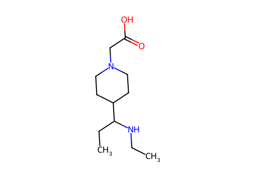 CCNC(CC)C1CCN(CC(=O)O)CC1